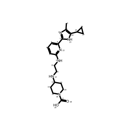 Cc1nc(-c2cccc(NCCNC3CCN(C(=O)O)CC3)n2)[nH]c1C1CC1